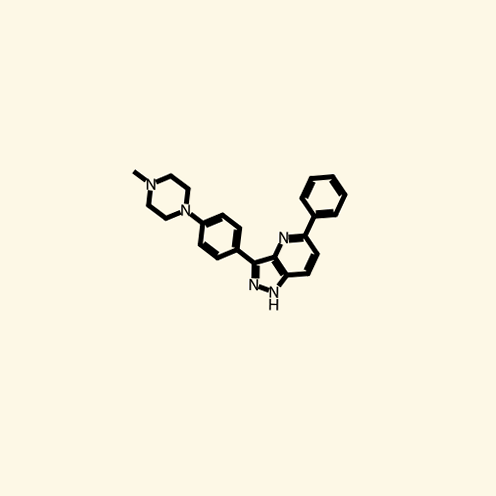 CN1CCN(c2ccc(-c3n[nH]c4ccc(-c5ccccc5)nc34)cc2)CC1